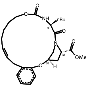 CCCC[C@@H]1NC(=O)OCCCCC=CCc2ccccc2O[C@@H]2C[C@@H](C(=O)OC)N(C2)C1=O